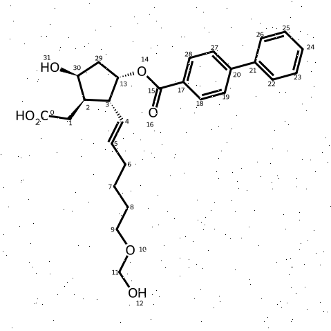 O=C(O)C[C@@H]1[C@@H](C=CCCCCOCO)[C@@H](OC(=O)c2ccc(-c3ccccc3)cc2)C[C@@H]1O